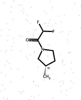 C[C@H]1CCN(C(=O)C(F)F)C1